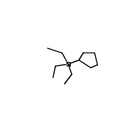 CC[Si](CC)(CC)C1CCCC1